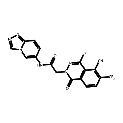 CC(C)c1nn(CC(=O)Nc2ccc3nncn3c2)c(=O)c2ccc(C(F)(F)F)c(C#N)c12